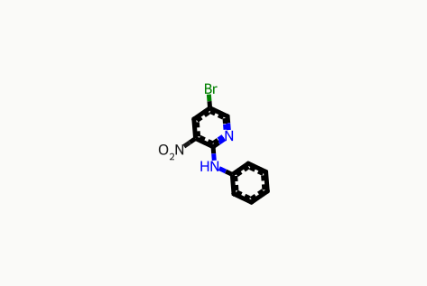 O=[N+]([O-])c1cc(Br)cnc1Nc1ccccc1